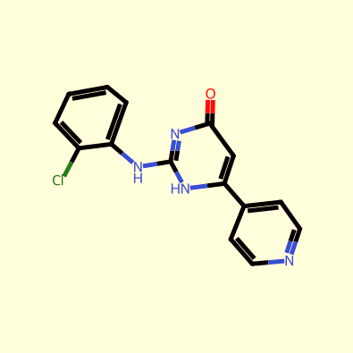 O=c1cc(-c2ccncc2)[nH]c(Nc2ccccc2Cl)n1